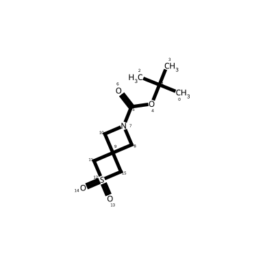 CC(C)(C)OC(=O)N1CC2(C1)CS(=O)(=O)C2